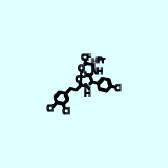 CC(C)[C@H](NC(=O)C(NC(=O)CCc1ccc(Cl)c(Cl)c1)c1ccc(Cl)cc1)C(=O)C(F)(F)F